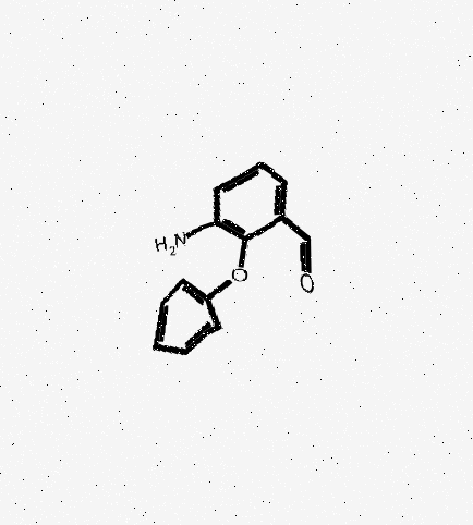 Nc1cccc(C=O)c1Oc1ccccc1